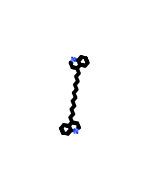 c1ccc2c(CCCCCCCCCCCCc3ccnc4ccccc34)ccnc2c1